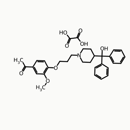 COc1cc(C(C)=O)ccc1OCCCN1CCC(C(O)(c2ccccc2)c2ccccc2)CC1.O=C(O)C(=O)O